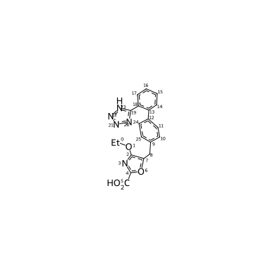 CCOc1nc(C(=O)O)oc1Cc1ccc(-c2ccccc2-c2nnn[nH]2)cc1